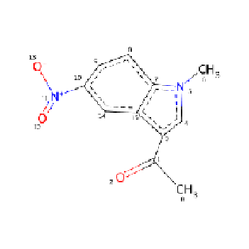 CC(=O)c1cn(C)c2ccc([N+](=O)[O-])cc12